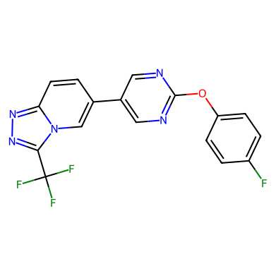 Fc1ccc(Oc2ncc(-c3ccc4nnc(C(F)(F)F)n4c3)cn2)cc1